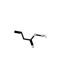 C=CCC(=O)S[SiH3]